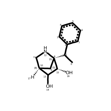 CC(c1ccccc1)[C@]12C[C@H](CN1)C(O)[C@H]2O